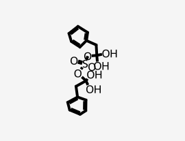 O=S(=O)(OC(O)(O)Cc1ccccc1)OC(O)(O)Cc1ccccc1